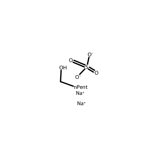 CCCCCCO.O=S(=O)([O-])[O-].[Na+].[Na+]